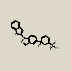 O=S(=O)(O)C1=CC=CC(F)(c2ccc3c(cnn3-c3cc4ccccc4[nH]3)c2)C1